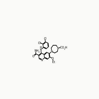 CCOc1cc2ncc(C(N)=O)c(Nc3cccc(Cl)c3Cl)c2cc1N1CCCN(C(=O)O)CC1